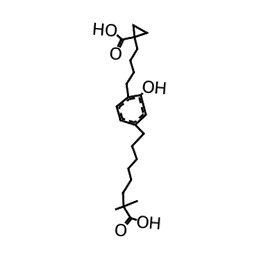 CC(C)(CCCCCCc1ccc(CCCCC2(C(=O)O)CC2)c(O)c1)C(=O)O